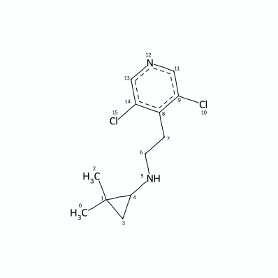 CC1(C)CC1NCCc1c(Cl)cncc1Cl